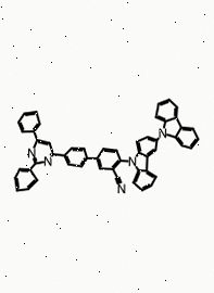 N#Cc1cc(-c2ccc(-c3cc(-c4ccccc4)nc(-c4ccccc4)n3)cc2)ccc1-n1c2ccccc2c2cc(-n3c4ccccc4c4ccccc43)ccc21